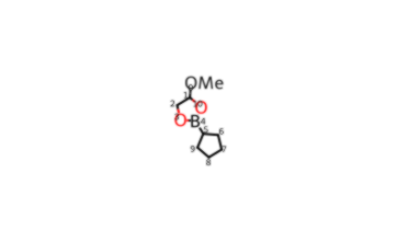 COC1COB(C2CCCC2)O1